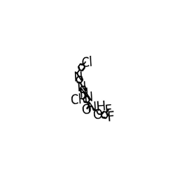 O=C(NCCOc1ccc(F)c(F)c1)c1cnc(N2CCN(C3CCN(Cc4ccc(Cl)cc4)CC3)CC2)c(Cl)c1